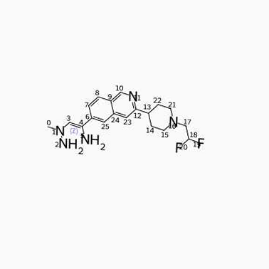 CN(N)/C=C(\N)c1ccc2cnc(C3CCN(CC(F)F)CC3)cc2c1